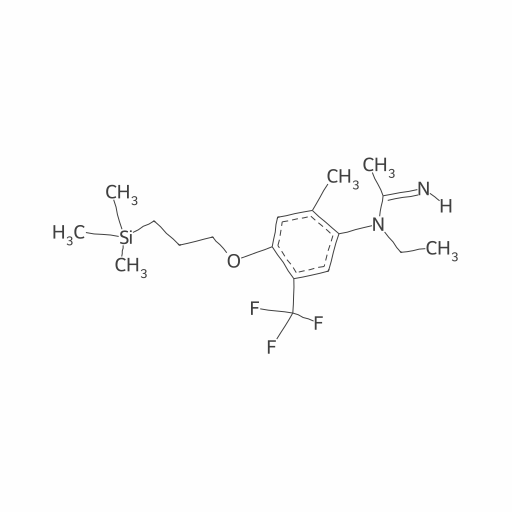 [H]/N=C(/C)N(CC)c1cc(C(F)(F)F)c(OCCC[Si](C)(C)C)cc1C